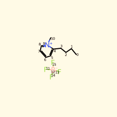 CCCCc1cccc[n+]1C.F[B-](F)(F)F